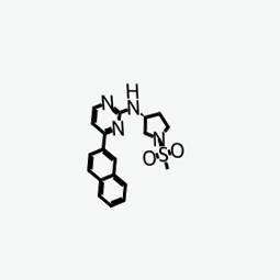 CS(=O)(=O)N1CC[C@@H](Nc2nccc(-c3ccc4ccccc4c3)n2)C1